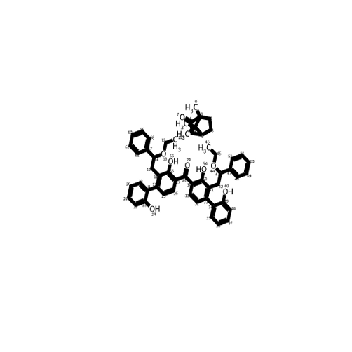 CC12CCC(CC1=O)C2(C)C.CCOC(Cc1c(-c2ccccc2O)ccc(C(=O)c2ccc(-c3ccccc3O)c(CC(OCC)c3ccccc3)c2O)c1O)c1ccccc1